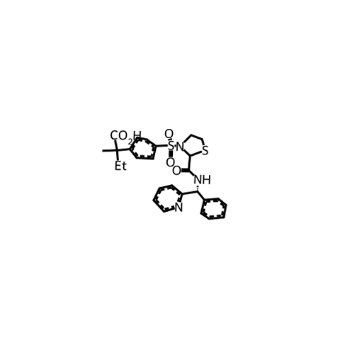 CCC(C)(C(=O)O)c1ccc(S(=O)(=O)N2CCSC2C(=O)N[C@H](c2ccccc2)c2ccccn2)cc1